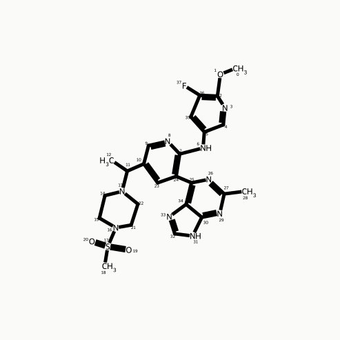 COc1ncc(Nc2ncc(C(C)N3CCN(S(C)(=O)=O)CC3)cc2-c2nc(C)nc3[nH]cnc23)cc1F